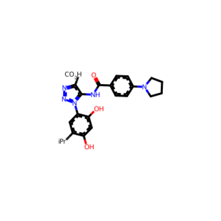 CC(C)c1cc(-n2nnc(C(=O)O)c2NC(=O)c2ccc(N3CCCC3)cc2)c(O)cc1O